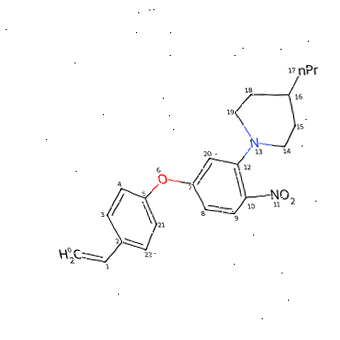 C=Cc1ccc(Oc2ccc([N+](=O)[O-])c(N3CCC(CCC)CC3)c2)cc1